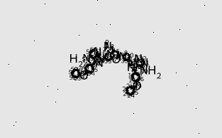 CN(C)CC(CC(=O)N1CC[C@@H](n2nc(-c3ccc(Oc4ccccc4)cc3)c3c(N)ncnc32)C1)N1CCC(n2nc(-c3ccc(Oc4ccccc4)cc3)c3c(N)ccnc32)C1